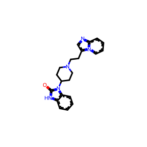 O=c1[nH]c2ccccc2n1C1CCN(CCc2cnc3ccccn23)CC1